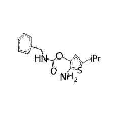 CC(C)c1cc(OC(=O)NCc2ccccc2)c(N)s1